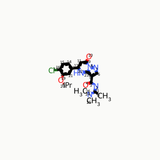 CC(=NC(=O)c1cnn2c(=O)cc(-c3ccc(Cl)c(OC(C)C)c3)[nH]c12)N(C)C